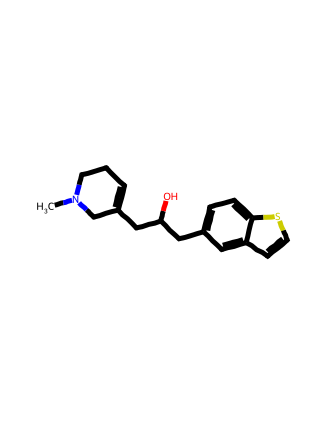 CN1CCC=C(CC(O)Cc2ccc3sccc3c2)C1